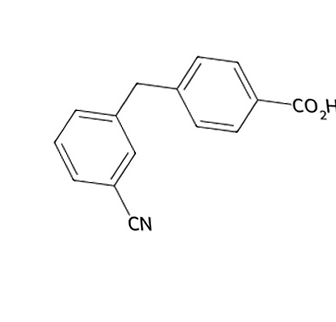 N#Cc1cccc(Cc2ccc(C(=O)O)cc2)c1